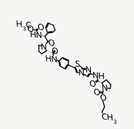 CCCCOC(=O)N1CCC[C@H]1C(=O)Nc1cn2cc(-c3ccc(NC(=O)[C@@H]4CCCN4C(=O)[C@H](NC(=O)OC)C4=CCCC=C4)cc3)sc2n1